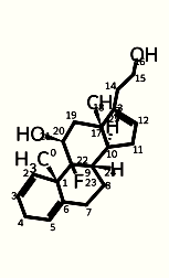 C[C@]12C=CCC=C1CC[C@H]1[C@@H]3CC=C(CCO)[C@@]3(C)C[C@H](O)C12F